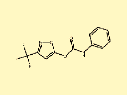 CC(F)(F)c1cc(OC(=O)Nc2ccccc2)on1